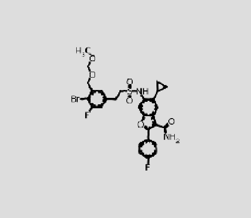 COCOCc1cc(CCS(=O)(=O)Nc2cc3oc(-c4ccc(F)cc4)c(C(N)=O)c3cc2C2CC2)cc(F)c1Br